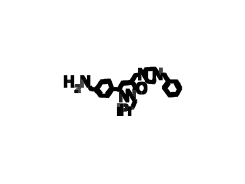 CC(C)Cn1nc(-c2ccc(CN)cc2)cc(CN2CCN(Cc3ccccc3)CC2)c1=O